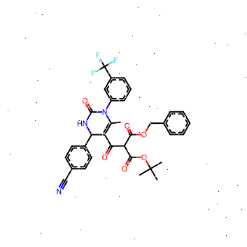 CC1=C(C(=O)C(C(=O)OCc2ccccc2)C(=O)OC(C)(C)C)C(c2ccc(C#N)cc2)NC(=O)N1c1cccc(C(F)(F)F)c1